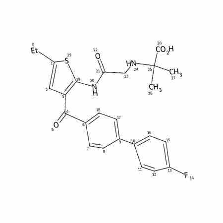 CCc1cc(C(=O)c2ccc(-c3ccc(F)cc3)cc2)c(NC(=O)CNC(C)(C)C(=O)O)s1